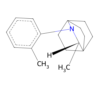 Cc1ccccc1N1[C@@H](C)C23CCC1(CC2)CC3